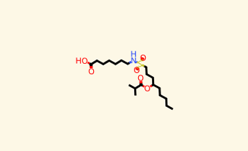 CCCCCC(CCCS(=O)(=O)NCCCCCCC(=O)O)OC(=O)C(C)C